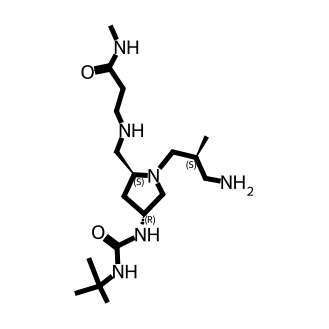 CNC(=O)CCNC[C@@H]1C[C@@H](NC(=O)NC(C)(C)C)CN1C[C@@H](C)CN